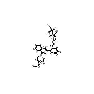 CCN1CCN(c2nc(-c3ccccc3OCCO[Si](C)(C)C(C)(C)C)cc3ccccc23)CC1